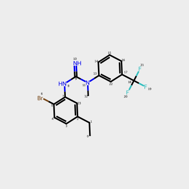 CCc1ccc(Br)c(NC(=N)N(C)c2cccc(C(F)(F)F)c2)c1